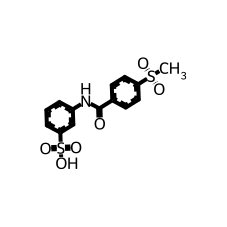 CS(=O)(=O)c1ccc(C(=O)Nc2cccc(S(=O)(=O)O)c2)cc1